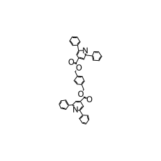 O=C(OCc1ccc(COC(=O)c2cc(-c3ccccc3)nc(-c3ccccc3)c2)cc1)c1cc(-c2ccccc2)nc(-c2ccccc2)c1